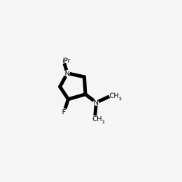 CC(C)N1CC(F)C(N(C)C)C1